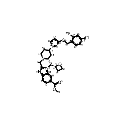 COC(=O)c1ccc2nc(CN3CCC(n4ccc(SCc5ccc(Cl)cc5F)n4)CC3)n(C[C@@H]3CCO3)c2c1